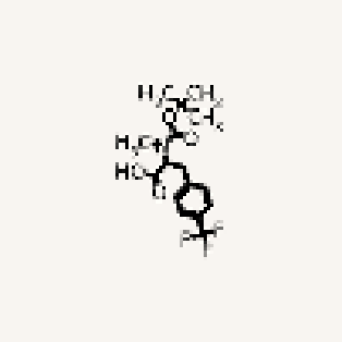 CN(C(=O)OC(C)(C)C)C(Cc1ccc(C(F)(F)F)cc1)C(=O)O